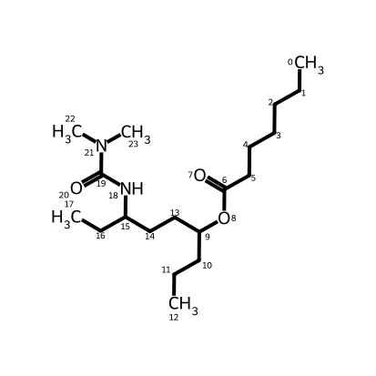 CCCCCCC(=O)OC(CCC)CCC(CC)NC(=O)N(C)C